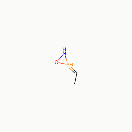 CC=[PH]1NO1